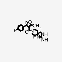 Cc1onc(-c2ccc(F)cc2)c1C(=O)N1CCC2(CC1)CNC(=N)N2